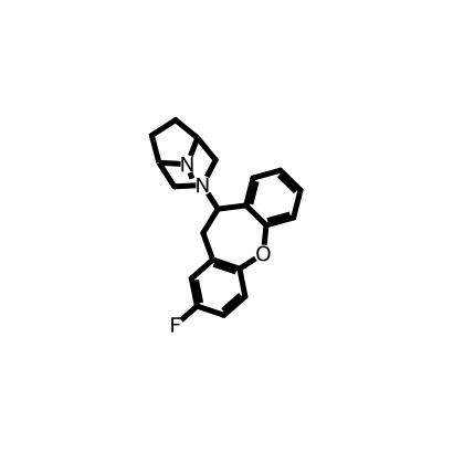 CN1C2CCC1CN(C1Cc3cc(F)ccc3Oc3ccccc31)C2